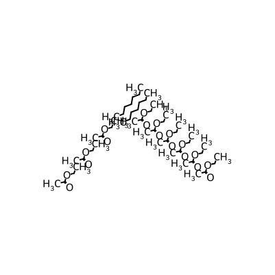 CCCCCCC.CCCCCCC.CCOC(C)=O.CCOC(C)=O.CCOC(C)=O.CCOC(C)=O.CCOC(C)=O.CCOC(C)=O.CCOC(C)=O.CCOC(C)=O.CCOC(C)=O